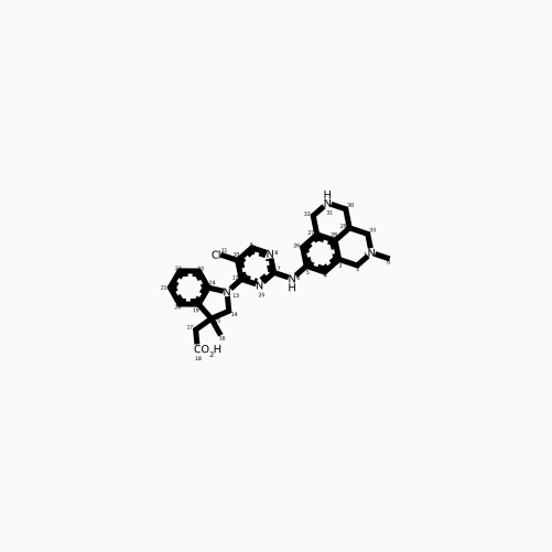 CN1Cc2cc(Nc3ncc(Cl)c(N4CC(C)(CC(=O)O)c5ccccc54)n3)cc3c2C(CNC3)C1